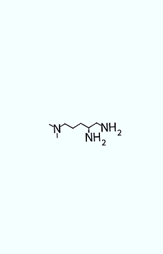 CN(C)CCC[C@H](N)CN